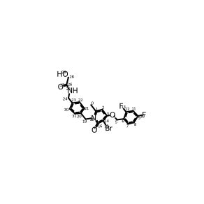 Cc1cc(OCc2ccc(F)cc2F)c(Br)c(=O)n1Cc1ccc(CNC(=O)CO)cc1